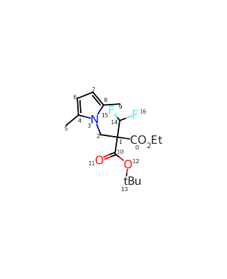 CCOC(=O)C(Cn1c(C)ccc1C)(C(=O)OC(C)(C)C)C(F)F